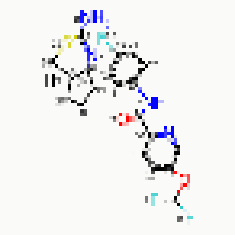 NC1=N[C@@]2(c3cc(NC(=O)c4ccc(OC(F)F)cn4)ccc3F)CCC[C@H]2CS1